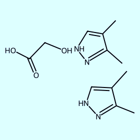 Cc1c[nH]nc1C.Cc1c[nH]nc1C.O=C(O)CO